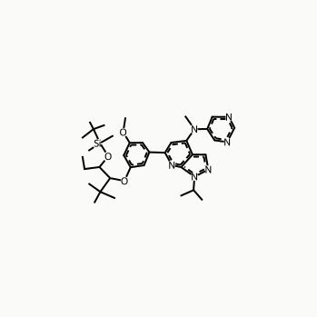 CCC(O[Si](C)(C)C(C)(C)C)C(Oc1cc(OC)cc(-c2cc(N(C)c3cncnc3)c3cnn(C(C)C)c3n2)c1)C(C)(C)C